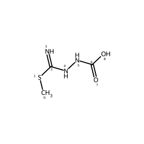 CSC(=N)NNC(=O)O